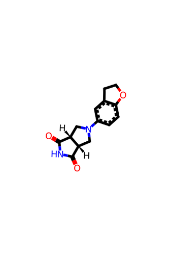 O=C1NC(=O)[C@@H]2CN(c3ccc4c(c3)CCO4)C[C@H]12